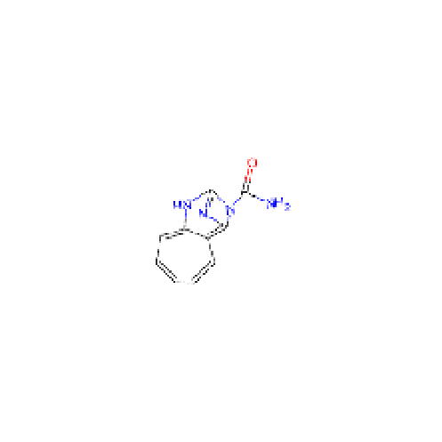 NC(=O)N1C2=NC1=C1C=CC=CC=C1N2